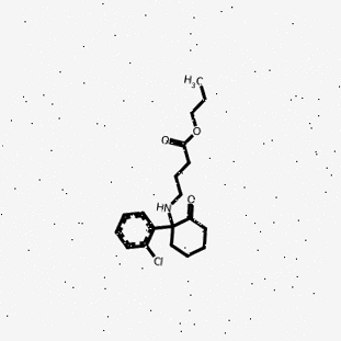 CCCOC(=O)CCCNC1(c2ccccc2Cl)CCCCC1=O